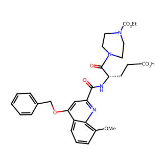 CCOC(=O)N1CCN(C(=O)[C@H](CCC(=O)O)NC(=O)c2cc(OCc3ccccc3)c3cccc(OC)c3n2)CC1